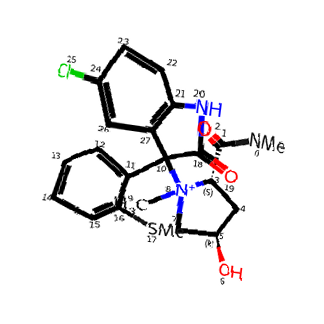 CNC(=O)[C@@H]1C[C@@H](O)C[N+]1(C)C1(c2ccccc2SC)C(=O)Nc2ccc(Cl)cc21